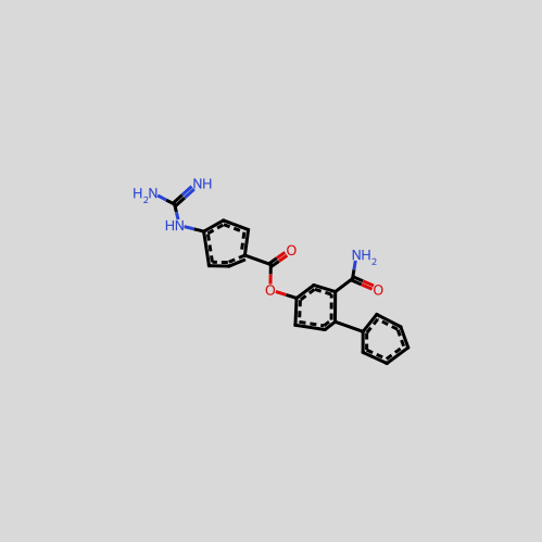 N=C(N)Nc1ccc(C(=O)Oc2ccc(-c3ccccc3)c(C(N)=O)c2)cc1